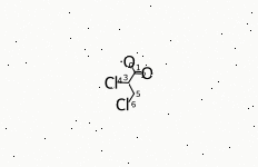 [O]C(=O)C(Cl)CCl